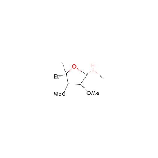 CBC1O[C@@](C)(CC)C(OC)C1OC